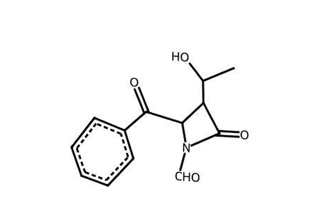 CC(O)C1C(=O)N(C=O)C1C(=O)c1ccccc1